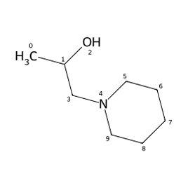 CC(O)CN1CCCCC1